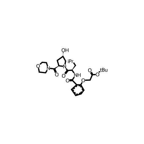 CC(C)C[C@@H](NC(=O)c1ccccc1OCC(=O)OC(C)(C)C)C(=O)N1C[C@@H](O)C[C@@H]1C(=O)N1CCOCC1